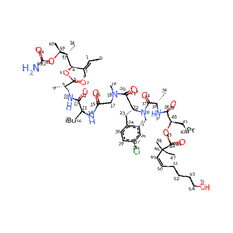 C/C=C(\C)[C@@H](OC(=O)[C@@H](C)NC(=O)C(NC(=O)CN(C)C(=O)[C@@H](Cc1ccc(Cl)cc1)N(C)C(=O)[C@H](C)NC(=O)[C@@H](CC(C)C)OC(=O)C(C)(C)/C=C\CCCCO)C(C)CC)[C@@H](C)[C@H](C)OC(N)=O